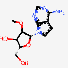 COC1C(O)[C@@H](CO)O[C@H]1n1ccc2c(N)ncnc21